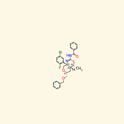 C[C@H]1SC(NC(=O)c2ccccc2)=N[C@@]2(c3cc(Br)ccc3F)CO[C@@H](COCc3ccccc3)C[C@@H]12